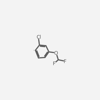 FC(F)Oc1cc[c]c(Cl)c1